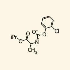 CC(C)OC(=O)C(C)/N=[P+](\[O-])Oc1ccccc1Cl